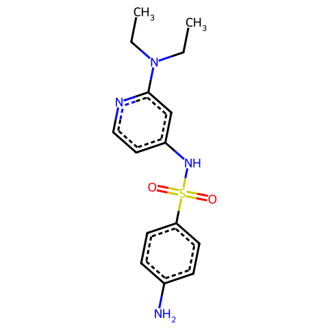 CCN(CC)c1cc(NS(=O)(=O)c2ccc(N)cc2)ccn1